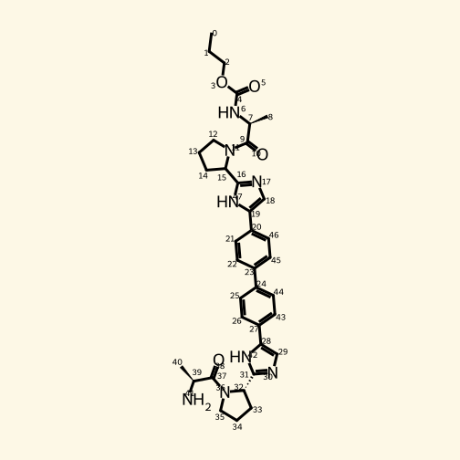 CCCOC(=O)N[C@@H](C)C(=O)N1CCCC1c1ncc(-c2ccc(-c3ccc(-c4cnc([C@@H]5CCCN5C(=O)[C@H](C)N)[nH]4)cc3)cc2)[nH]1